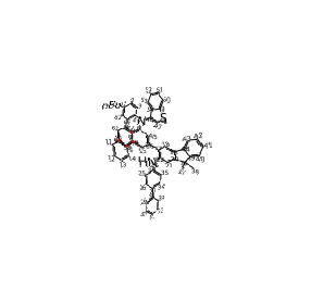 CCCCc1ccc(N(c2cc(-c3ccccc3)cc(-c3cc4c(cc3Nc3ccc(-c5ccccc5)cc3)C(C)(C)c3ccccc3-4)c2)c2csc3ccccc23)c(-c2ccccc2)c1